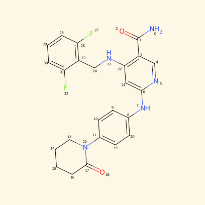 NC(=O)c1cnc(Nc2ccc(N3CCCCC3=O)cc2)cc1NCc1c(F)cccc1F